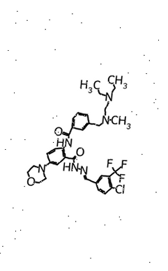 CCN(CC)CCN(C)Cc1cccc(C(=O)Nc2ccc(N3CCOCC3)cc2C(=O)NN=Cc2ccc(Cl)c(C(F)(F)F)c2)c1